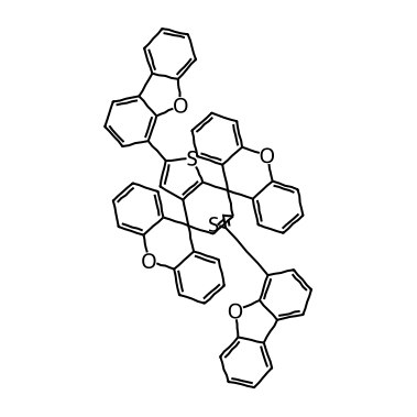 c1ccc2c(c1)Oc1ccccc1C21c2cc(-c3cccc4c3oc3ccccc34)sc2C2(c3ccccc3Oc3ccccc32)c2cc(-c3cccc4c3oc3ccccc34)sc21